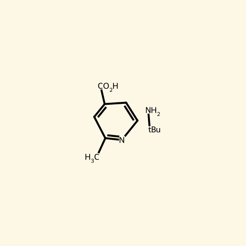 CC(C)(C)N.Cc1cc(C(=O)O)ccn1